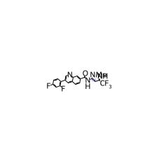 CN/C(=C\C(=N)C(F)(F)F)NC(=O)c1ccc2cc(-c3ccc(F)cc3F)cnc2c1